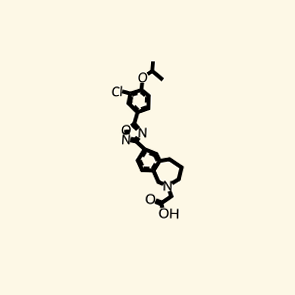 CC(C)Oc1ccc(-c2nc(-c3ccc4c(c3)CCCN(CC(=O)O)C4)no2)cc1Cl